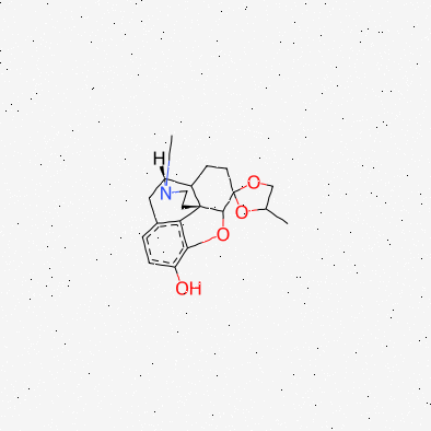 CC1COC2(CCC3[C@H]4Cc5ccc(O)c6c5[C@@]3(CCN4C)C2O6)O1